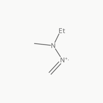 C=[N+]N(C)CC